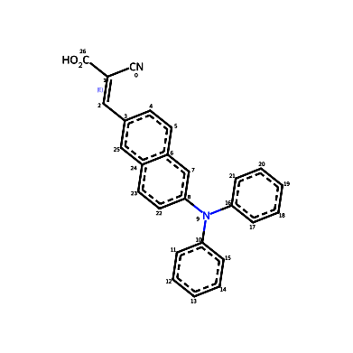 N#C/C(=C\c1ccc2cc(N(c3ccccc3)c3ccccc3)ccc2c1)C(=O)O